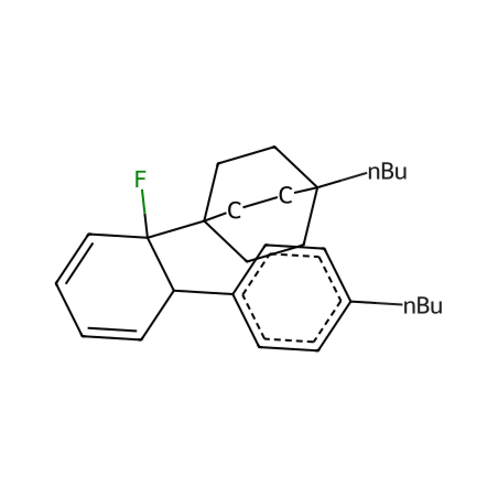 CCCCc1ccc(C2C=CC=CC2(F)C23CCC(CCCC)(CC2)CC3)cc1